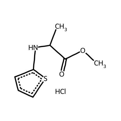 COC(=O)C(C)Nc1cccs1.Cl